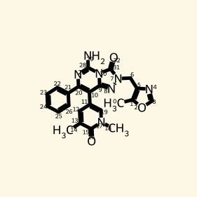 Cc1ocnc1Cn1nc2c(-c3cc(C)c(=O)n(C)c3)c(-c3ccccc3)nc(N)n2c1=O